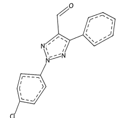 O=Cc1nn(-c2ccc(Cl)cc2)nc1-c1ccccc1